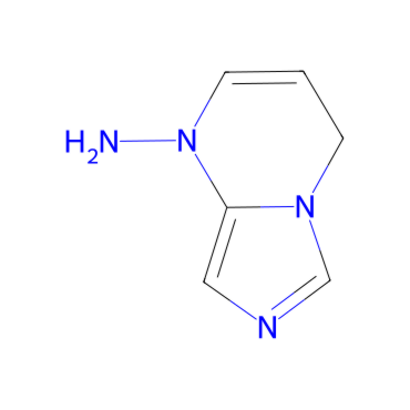 NN1C=CCn2cncc21